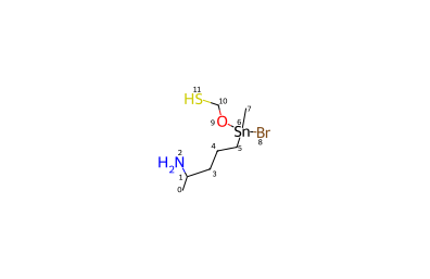 CC(N)CC[CH2][Sn]([CH3])([Br])[O]CS